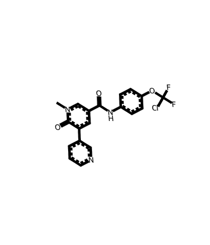 Cn1cc(C(=O)Nc2ccc(OC(F)(F)Cl)cc2)cc(-c2cccnc2)c1=O